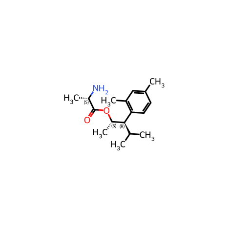 Cc1ccc([C@@H](C(C)C)[C@H](C)OC(=O)[C@H](C)N)c(C)c1